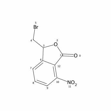 O=C1OC(CBr)c2cccc([N+](=O)[O-])c21